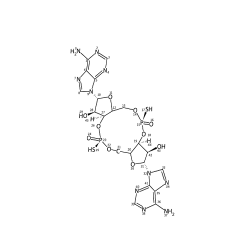 Nc1ncnc2c1ncn2[C@@H]1OC2CO[P@@](=O)(S)O[C@@H]3C(CO[P@@](=O)(S)O[C@H]2[C@H]1O)O[C@@H](n1cnc2c(N)ncnc21)[C@@H]3O